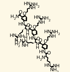 N=C(N)NCCC[C@@H](N)C(=O)Nc1ccc(OCCNC(=N)N)c(C(=O)N[C@H](CCCNC(=N)N)C(=O)Nc2ccc(OCCNC(=N)N)c(C(=O)N[C@H](CCCNC(=N)N)C(=O)Nc3ccc(OCCNC(=N)N)c(C(N)=O)c3)c2)c1